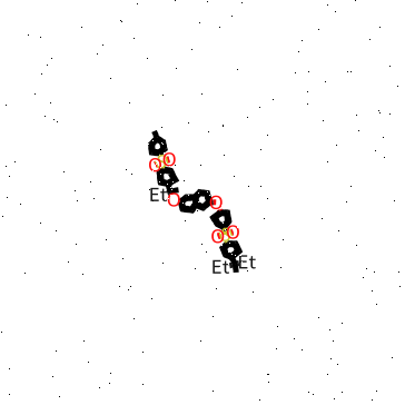 CCC(C)(CC)c1ccc(S(=O)(=O)c2ccc(Oc3ccc4cc(OC(C)(CC)c5ccc(S(=O)(=O)c6ccc(C)cc6)cc5)ccc4c3)cc2)cc1